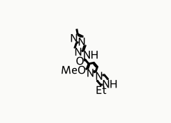 CC[C@@H]1CN(c2ccc(C(=O)Nc3cn4cc(C)nc4cn3)c(OC)n2)CCN1